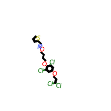 ClC(Cl)=CCOc1cc(Cl)c(OCCCCO/N=C/c2cccs2)c(Cl)c1